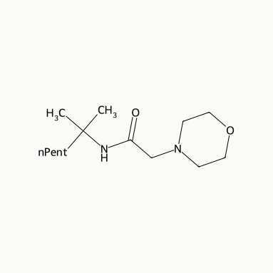 CCCCCC(C)(C)NC(=O)CN1CCOCC1